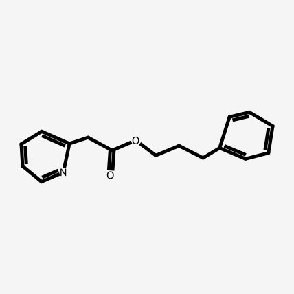 O=C(Cc1ccccn1)OCCCc1ccccc1